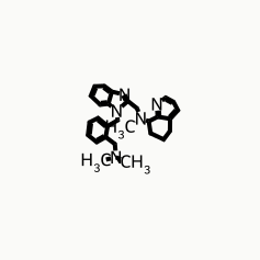 CN(C)Cc1ccccc1Cn1c(CN(C)C2CCCc3cccnc32)nc2ccccc21